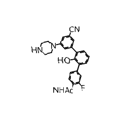 CC(=O)Nc1ccc(-c2cccc(-c3cc(C#N)cc(N4CCNCC4)c3)c2O)cc1F